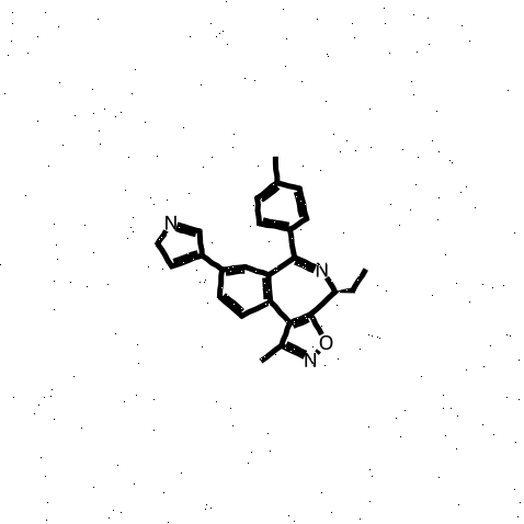 CC[C@@H]1N=C(c2ccc(C)cc2)c2cc(C3=CCN=C3)ccc2-c2c(C)noc21